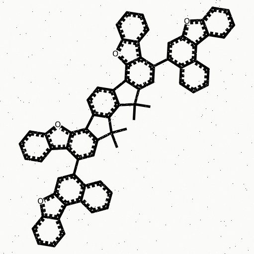 CC1(C)c2cc(-c3cc4oc5ccccc5c4c4ccccc34)c3c(oc4ccccc43)c2-c2ccc3c(c21)C(C)(C)c1cc(-c2cc4oc5ccccc5c4c4ccccc24)c2c(oc4ccccc42)c1-3